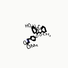 COC(=O)/C=C/c1ccc(Oc2c(C(=O)c3c(C)cccc3C)sc3cc(O)ccc23)cc1